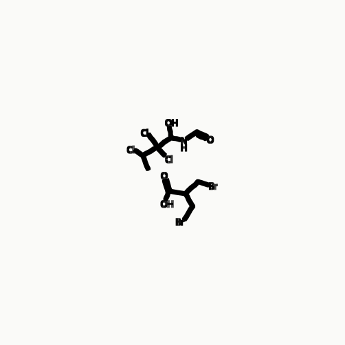 CC(Cl)C(Cl)(Cl)C(O)NC=O.O=C(O)C(CBr)CBr